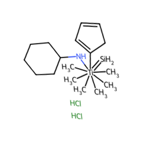 Cl.Cl.[CH3][Ti]([CH3])([CH3])([CH3])([CH3])([CH3])(=[SiH2])([NH]C1CCCCC1)[C]1=CC=CC1